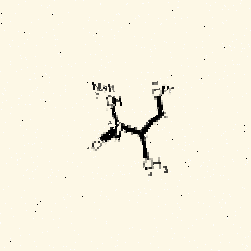 CCCCC(C)[PH](=O)O.[NaH]